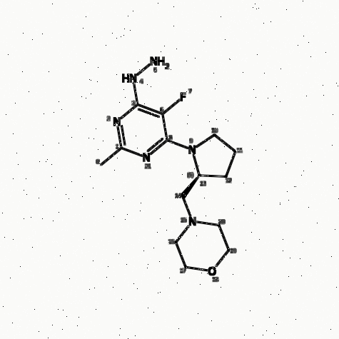 Cc1nc(NN)c(F)c(N2CCC[C@H]2CN2CCOCC2)n1